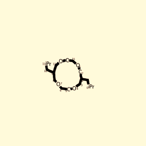 CC(C)CC1COCCOCC(CC(C)C)COCCOC1